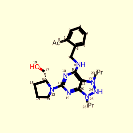 CC(=O)c1ccccc1CNc1nc(N2CCC[C@@H]2CO)nc2c1N(C(C)C)NN2C(C)C